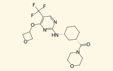 O=C([C@H]1CCC[C@@H](Nc2ncc(C(F)(F)F)c(OC3COC3)n2)C1)N1CCOCC1